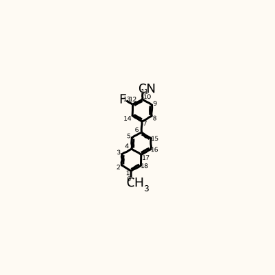 Cc1ccc2cc(-c3ccc(C#N)c(F)c3)ccc2c1